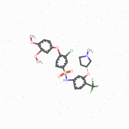 COc1ccc(Oc2ccc(S(=O)(=O)Nc3ccc(C(F)(F)F)c(O[C@@H]4CCN(C)C4)c3)cc2Cl)cc1OC